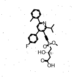 COP(=O)(C#Cc1c(-c2ccc(F)cc2)cc(-c2ccccc2C)nc1C(C)C)C[C@@H](O)CC(=O)O